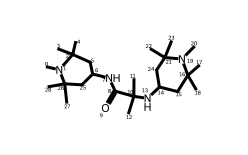 CN1C(C)(C)CC(NC(=O)C(C)(C)NC2CC(C)(C)N(C)C(C)(C)C2)CC1(C)C